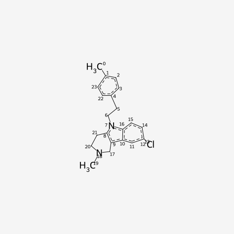 Cc1ccc(CCn2c3c(c4cc(Cl)ccc42)CN(C)CC3)cc1